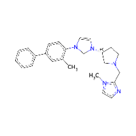 Cc1cc(-c2ccccc2)ccc1N1C=CN([C@@H]2CCN(Cc3nccn3C)C2)C1